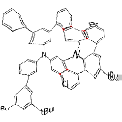 CC(C)(C)c1cc(-c2cccc(N(c3cc(-c4ccccc4)cc(-c4ccccc4)c3)c3cc(Cl)cc(N(c4cccc(Br)c4)c4c(-c5ccccc5)cc(C(C)(C)C)cc4-c4ccccc4)c3)c2)cc(C(C)(C)C)c1